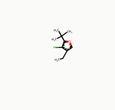 CCc1coc(C(C)(C)C)c1F